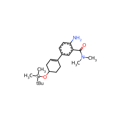 CN(C)C(=O)c1cc(C2=CCC(O[Si](C)(C)C(C)(C)C)CC2)ccc1N